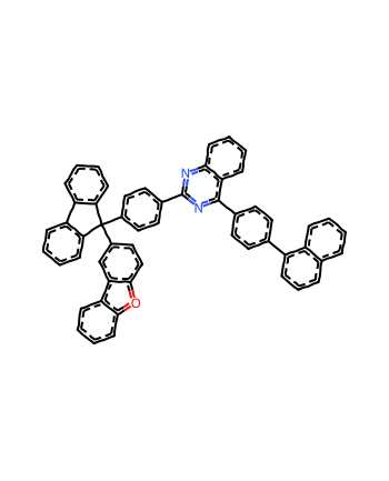 c1ccc2c(c1)-c1ccccc1C2(c1ccc(-c2nc(-c3ccc(-c4cccc5ccccc45)cc3)c3ccccc3n2)cc1)c1ccc2oc3ccccc3c2c1